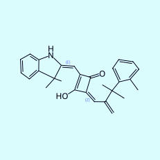 C=C(/C=C1\C(=O)C(/C=C2/Nc3ccccc3C2(C)C)=C1O)C(C)(C)c1ccccc1C